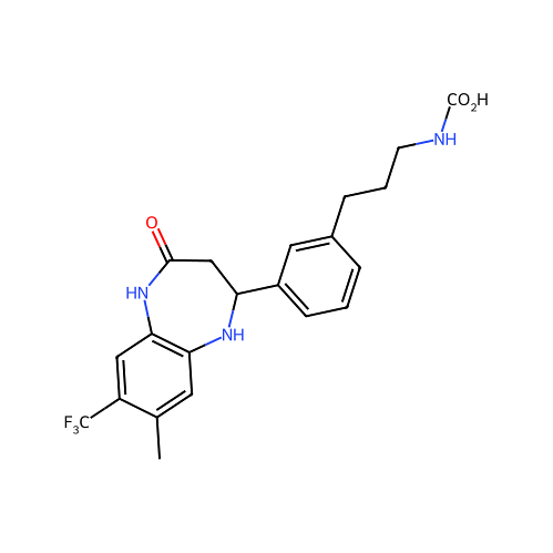 Cc1cc2c(cc1C(F)(F)F)NC(=O)CC(c1cccc(CCCNC(=O)O)c1)N2